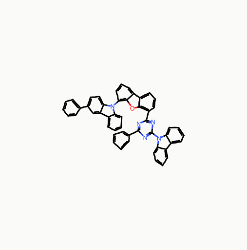 c1ccc(-c2ccc3c(c2)c2ccccc2n3-c2cccc3c2oc2c(-c4nc(-c5ccccc5)nc(-n5c6ccccc6c6ccccc65)n4)cccc23)cc1